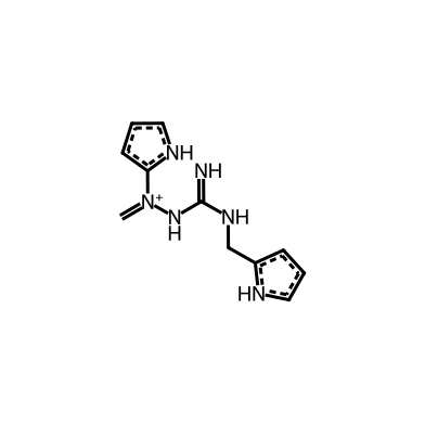 C=[N+](NC(=N)NCc1ccc[nH]1)c1ccc[nH]1